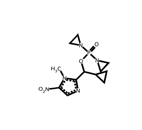 Cn1c([N+](=O)[O-])cnc1C(OP(=O)(N1CC1)N1CC1)C1CC1